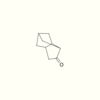 O=C1CC2CC3CC1C2C3